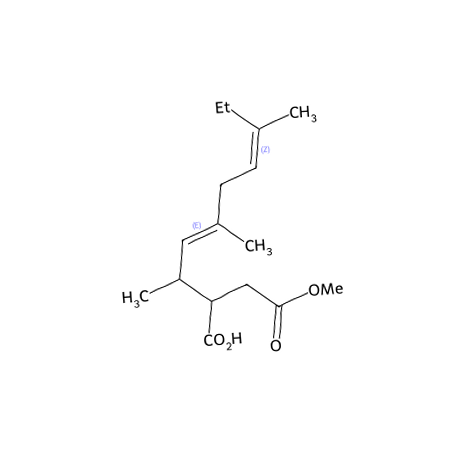 CC/C(C)=C\C/C(C)=C/C(C)C(CC(=O)OC)C(=O)O